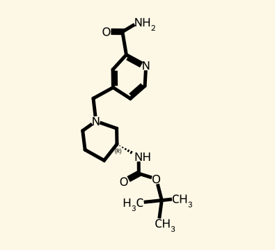 CC(C)(C)OC(=O)N[C@@H]1CCCN(Cc2ccnc(C(N)=O)c2)C1